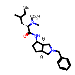 CC(C[C@@H](C(=O)N[C@@H]1CC[C@@H]2CN(Cc3ccccc3)C[C@@H]21)N(C)C(=O)O)CC(C)(C)C